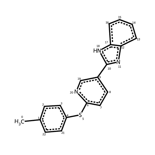 Cc1ccc(Sc2ccc(-c3nc4ccccc4[nH]3)cn2)cc1